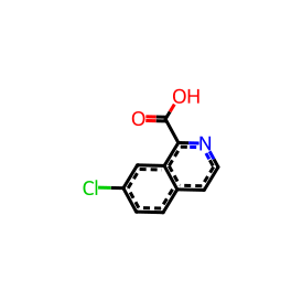 O=C(O)c1nccc2ccc(Cl)cc12